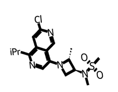 CC(C)c1ncc(N2C[C@H](N(C)S(C)(=O)=O)[C@H]2C)c2cnc(Cl)cc12